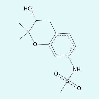 CC1(C)Oc2cc(NS(C)(=O)=O)ccc2C[C@H]1O